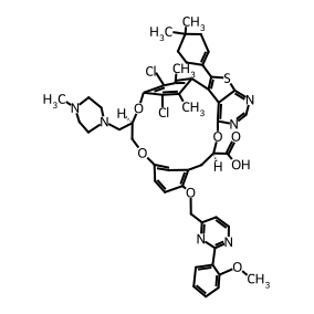 COc1ccccc1-c1nccc(COc2ccc3cc2C[C@H](C(=O)O)Oc2ncnc4sc(C5=CCC(C)(C)CC5)c(c24)-c2c(C)c(Cl)c(c(Cl)c2C)O[C@H](CN2CCN(C)CC2)CO3)n1